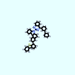 c1ccc(-c2cccc(-c3nc(-n4c5ccccc5c5c6ccc(-c7cccc8c7sc7ccccc78)cc6ccc54)nc4ccccc34)c2)cc1